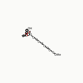 COCCOCCOCCOCCOCCOCCOCCOCCOCCO[C@H]1CC[C@@]2(O)[C@H]3Cc4ccc(O)c5c4[C@@]2(CCN3CC2CCC2)[C@H]1O5